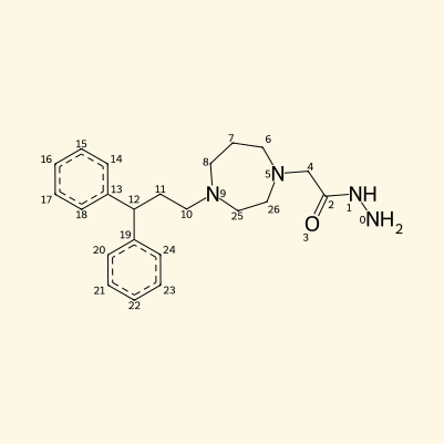 NNC(=O)CN1CCCN(CCC(c2ccccc2)c2ccccc2)CC1